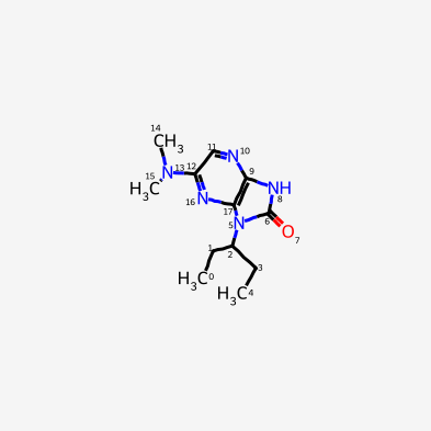 CCC(CC)n1c(=O)[nH]c2ncc(N(C)C)nc21